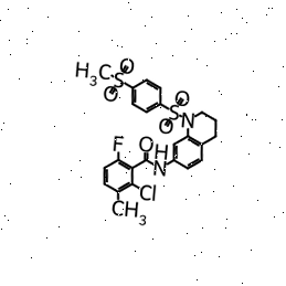 Cc1ccc(F)c(C(=O)Nc2ccc3c(c2)N(S(=O)(=O)c2ccc(S(C)(=O)=O)cc2)CCC3)c1Cl